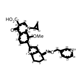 COc1c(-c2cc3c(s2)CCCC3=NOCc2cccnc2)ccc2c(=O)c(C(=O)O)cn(C3CC3)c12